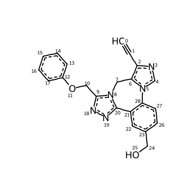 C#Cc1ncn2c1Cn1c(COc3ccccc3)nnc1-c1cc(CO)ccc1-2